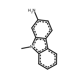 Cn1c2ccccc2c2ccc(N)cc21